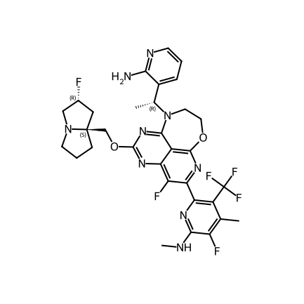 CNc1nc(-c2nc3c4c(nc(OC[C@@]56CCCN5C[C@H](F)C6)nc4c2F)N([C@H](C)c2cccnc2N)CCO3)c(C(F)(F)F)c(C)c1F